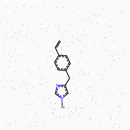 C=Cc1ccc(Cc2cn(CC)cn2)cc1